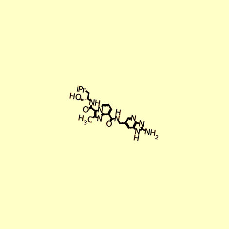 Cc1nc2c(C(=O)NCc3cnc4nc(N)[nH]c4c3)cccn2c1C(=O)N[C@H](CO)CC(C)C